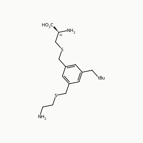 CC(C)(C)Cc1cc(CSCCN)cc(CSC[C@H](N)C(=O)O)c1